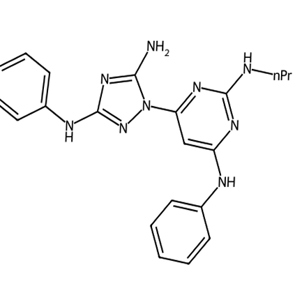 CCCNc1nc(Nc2ccccc2)cc(-n2nc(Nc3ccccc3)nc2N)n1